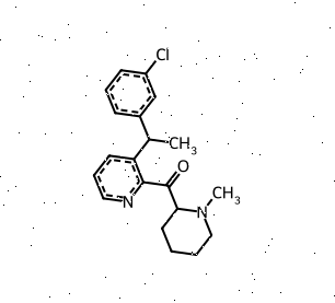 CC(c1cccc(Cl)c1)c1cccnc1C(=O)C1CCCCN1C